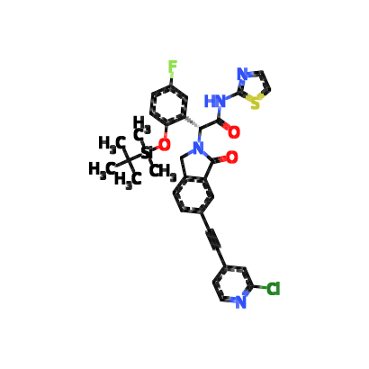 CC(C)(C)[Si](C)(C)Oc1ccc(F)cc1[C@H](C(=O)Nc1nccs1)N1Cc2ccc(C#Cc3ccnc(Cl)c3)cc2C1=O